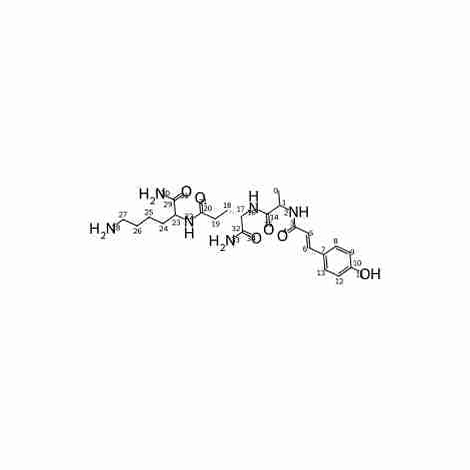 CC(NC(=O)/C=C/c1ccc(O)cc1)C(=O)N[C@@H](CCC(=O)NC(CCCCN)C(N)=O)C(N)=O